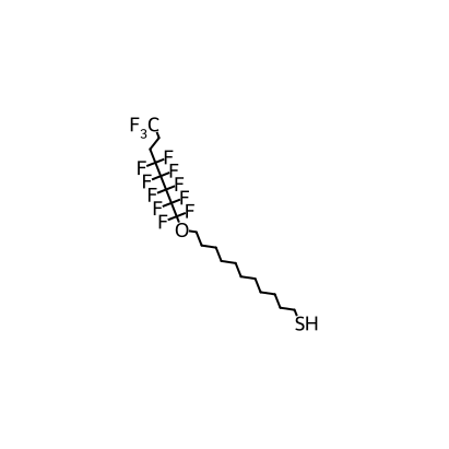 FC(F)(F)CCC(F)(F)C(F)(F)C(F)(F)C(F)(F)C(F)(F)OCCCCCCCCCCCS